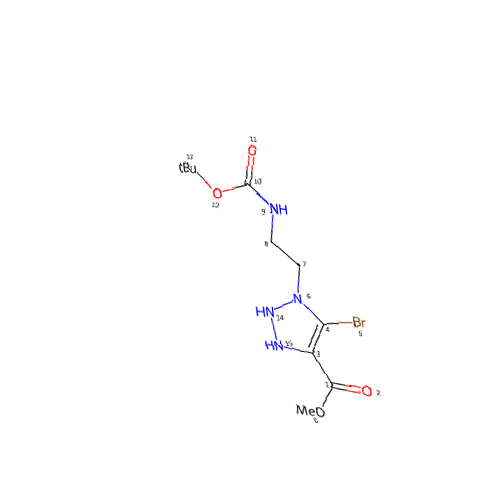 COC(=O)C1=C(Br)N(CCNC(=O)OC(C)(C)C)NN1